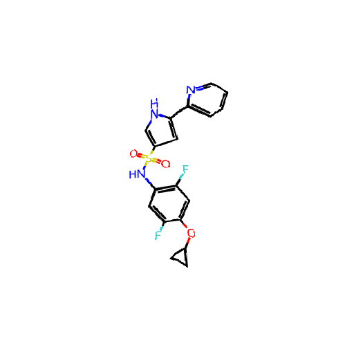 O=S(=O)(Nc1cc(F)c(OC2CC2)cc1F)c1c[nH]c(-c2ccccn2)c1